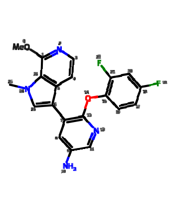 COc1nccc2c(-c3cc(N)cnc3Oc3ccc(F)cc3F)cn(C)c12